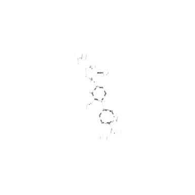 CCCNc1ccc(-c2ccc(N3C[C@H](CO)OC3=O)cc2F)cn1